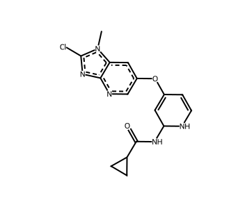 Cn1c(Cl)nc2ncc(OC3=CC(NC(=O)C4CC4)NC=C3)cc21